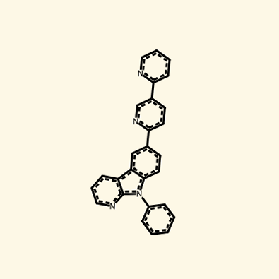 c1ccc(-n2c3ccc(-c4ccc(-c5ccccn5)cn4)cc3c3cccnc32)cc1